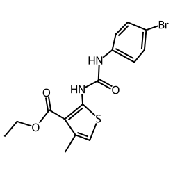 CCOC(=O)c1c(C)csc1NC(=O)Nc1ccc(Br)cc1